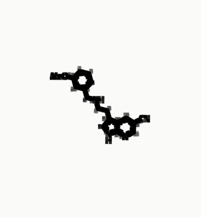 COc1cccc(CNCCc2c[nH]c3ncc(C#N)cc23)c1